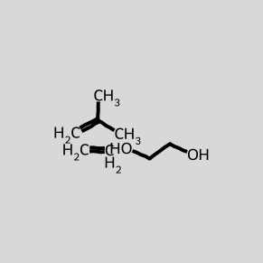 C=C.C=C(C)C.OCCO